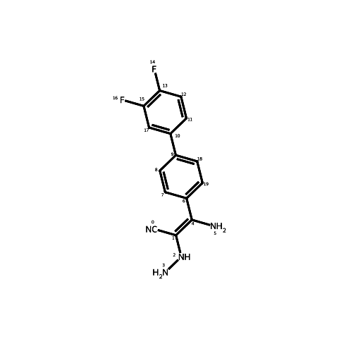 N#C/C(NN)=C(/N)c1ccc(-c2ccc(F)c(F)c2)cc1